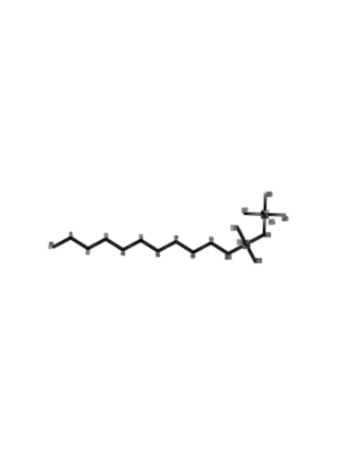 [CH2]CCCCCCCCCC[Si](C)(C)C[Si](C)(C)C